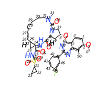 COc1ccc2c(O[C@@H]3C[C@H]4C(=O)N[C@]5(C(=O)NS(=O)(=O)C6CC6)C[C@H]5/C=C\CCCCN(C)C(=O)N4C3)nc(-c3cccc(F)c3)nc2c1C